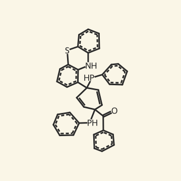 O=C(c1ccccc1)C1(Pc2ccccc2)C=CC(Pc2ccccc2)(c2cccc3c2Nc2ccccc2S3)C=C1